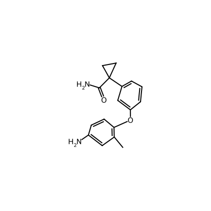 Cc1cc(N)ccc1Oc1cccc(C2(C(N)=O)CC2)c1